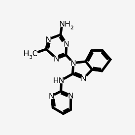 Cc1nc(N)nc(-n2c(Nc3ncccn3)nc3ccccc32)n1